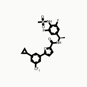 C[C@@H](NC(=O)c1ccc(-c2cc(C3CC3)cc(C(F)(F)F)c2)o1)c1cc(F)c(NS(C)(=O)=O)c(F)c1